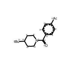 CC(=O)c1ccc(C(=O)N2CCC(C(C)(C)C)CC2)cc1